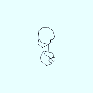 C1CCCC2(C3CCCC4CCC[C]3CCC4)CCC(CC1)C2